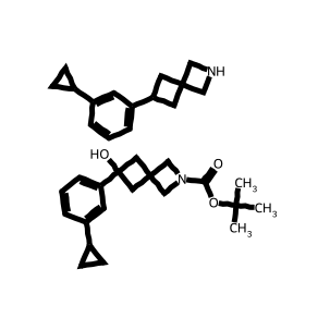 CC(C)(C)OC(=O)N1CC2(C1)CC(O)(c1cccc(C3CC3)c1)C2.c1cc(C2CC2)cc(C2CC3(CNC3)C2)c1